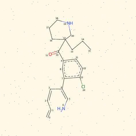 C=C/C=C\C(=C/N)c1cc(C(=O)C2(CCC)CCCNC2)ccc1Cl